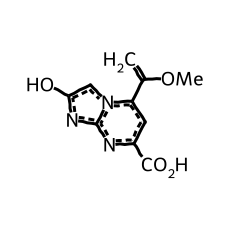 C=C(OC)c1cc(C(=O)O)nc2nc(O)cn12